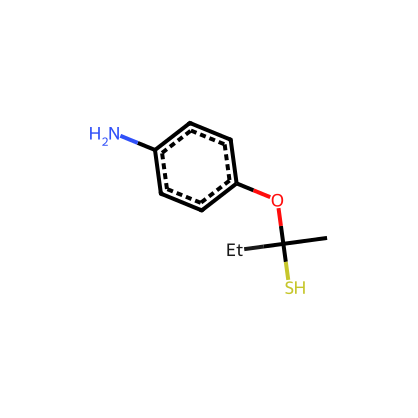 CCC(C)(S)Oc1ccc(N)cc1